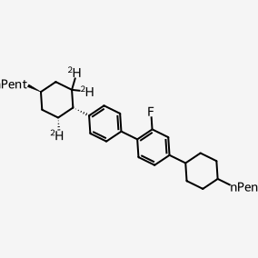 [2H][C@@H]1C[C@@H](CCCCC)CC([2H])([2H])[C@@H]1c1ccc(-c2ccc(C3CCC(CCCCC)CC3)cc2F)cc1